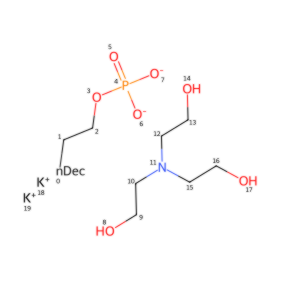 CCCCCCCCCCCCOP(=O)([O-])[O-].OCCN(CCO)CCO.[K+].[K+]